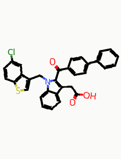 O=C(O)Cc1c(C(=O)c2ccc(-c3ccccc3)cc2)n(Cc2csc3ccc(Cl)cc23)c2ccccc12